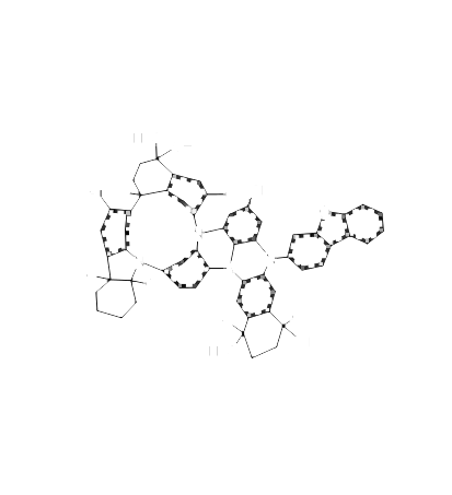 Cc1cc2c3c(c1)N1c4cc5c(cc4C)C(C)(C)CCC5(C)c4cc5c(cc4C(C)(C)C)C4(C)CCCCC4(C)N5c4ccc(c1c4)B3c1cc3c(cc1N2c1ccc2c(c1)oc1ccccc12)C(C)(C)CCC3(C)C